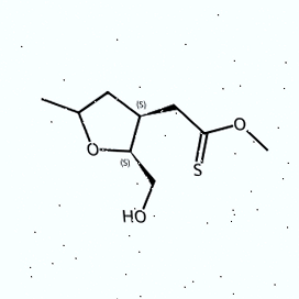 COC(=S)C[C@@H]1CC(C)O[C@@H]1CO